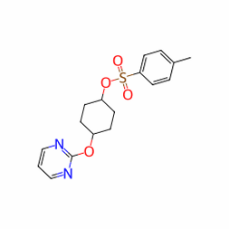 Cc1ccc(S(=O)(=O)OC2CCC(Oc3ncccn3)CC2)cc1